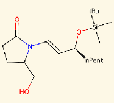 CCCCC[C@@H](/C=C/N1C(=O)CCC1CO)O[Si](C)(C)C(C)(C)C